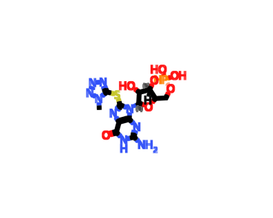 Cn1nnnc1Sc1nc2c(=O)[nH]c(N)nc2n1[C@@H]1OC2CO[PH](O)(O)O[C@H]2C1O